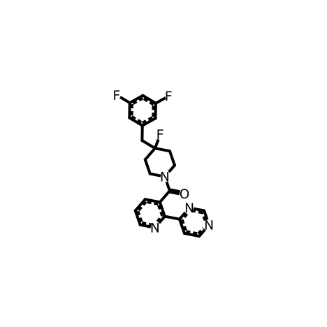 O=C(c1cccnc1-c1ccncn1)N1CCC(F)(Cc2cc(F)cc(F)c2)CC1